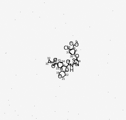 COC(=O)c1cc(Oc2cnc(NC(=O)C(OC3CCOCC3)c3ccc(S(=O)(=O)C4CC4)cc3)s2)ccc1Cl